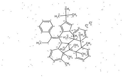 CC/[C](c1ccccc1)=[Zr+2](/[C]1=CC(C(C)(C)C)=CC1C)[CH]1C2C=CC=C(C)C2(C)C2(C)C3(C)C=CC=CC3(C)C3(C)C=CC=CC3(C)C12C.[Cl-].[Cl-]